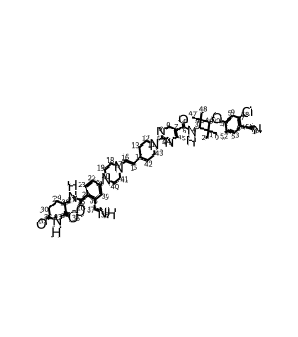 CC1(C)[C@H](NC(=O)c2cnc(N3CCC(CCN4CCN(c5ccc(C(=O)NC6CCC(=O)NC6=O)c(C=N)c5)CC4)CC3)nc2)C(C)(C)[C@H]1Oc1ccc(C#N)c(Cl)c1